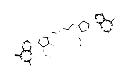 Nc1nc2c(ncn2[C@@H]2O[C@H](COPCC[C@H]3[C@H](F)[C@H](n4ccc5c(N)ncnc54)O[C@@H]3COP)[C@@H](F)[C@H]2OO)c(=O)[nH]1